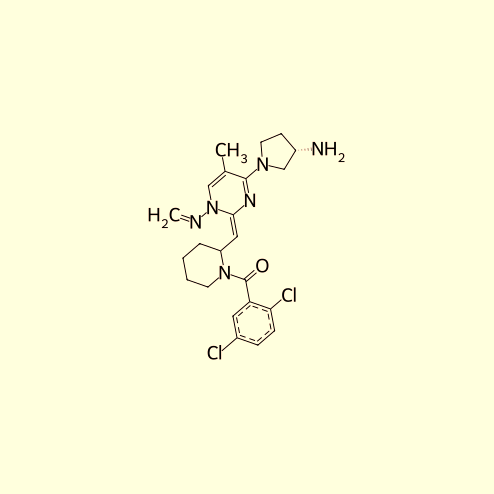 C=NN1C=C(C)C(N2CC[C@H](N)C2)=N/C1=C/C1CCCCN1C(=O)c1cc(Cl)ccc1Cl